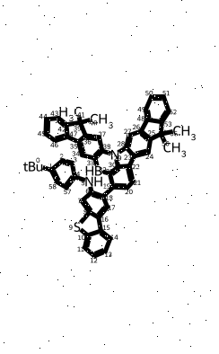 CC(C)(C)c1ccc(Nc2cc3sc4ccccc4c3cc2-c2ccc3c4cc5c(cc4n4c3c2Bc2cc3c(cc2-4)C(C)(C)c2ccccc2-3)-c2ccccc2C5(C)C)cc1